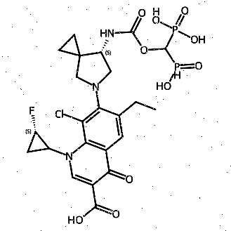 CCc1cc2c(=O)c(C(=O)O)cn(C3C[C@@H]3F)c2c(Cl)c1N1C[C@@H](NC(=O)OC([PH](=O)O)P(=O)(O)O)C2(CC2)C1